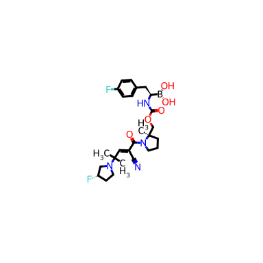 CC(C)(/C=C(\C#N)C(=O)N1CCC[C@]1(C)COC(=O)N[C@@H](Cc1ccc(F)cc1)B(O)O)N1CC[C@H](F)C1